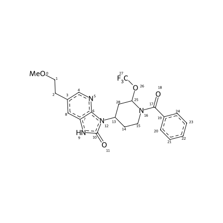 COCCc1cnc2c(c1)[nH]c(=O)n2C1CCN(C(=O)c2ccccc2)C(OC(F)(F)F)C1